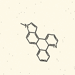 Cn1ccc2c3c(ccc21)c1ccccc1c1ncccc13